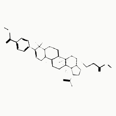 C=C(C)[C@@H]1CC[C@]2(NCCC(=O)OC)CC[C@]3(C)[C@H](CCC4[C@@]5(C)CC=C(c6ccc(C(=O)OC)cc6)C(C)(C)C5CC[C@]43C)C12